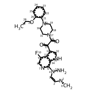 C=N/C=C\N(N)c1ncc(F)c2c(C(=O)C(=O)N3CCN(c4ccccc4OCC)CC3)c[nH]c12